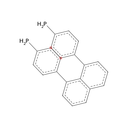 Pc1ccc(-c2cccc3cccc(-c4ccc(P)cc4)c23)cc1